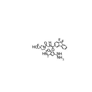 CC(NC(=O)[C@@H]1C[C@](F)(CO)CN1C(=O)CNC(=O)c1ccc2c(c1)-c1ccccc1C2(F)F)c1cc(C(=N)N)cs1